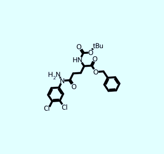 CC(C)(C)OC(=O)NC(CCC(=O)N(N)c1ccc(Cl)c(Cl)c1)C(=O)OCc1ccccc1